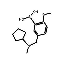 COc1ccc(CN(C)C2CCCC2)cc1B(O)O